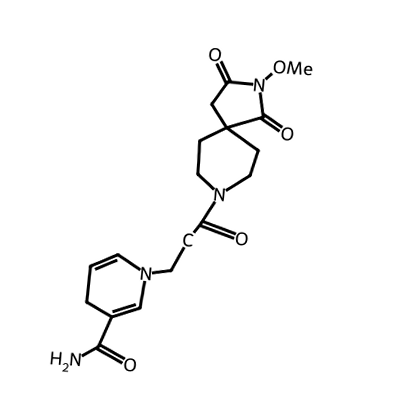 CON1C(=O)CC2(CCN(C(=O)CCN3C=CCC(C(N)=O)=C3)CC2)C1=O